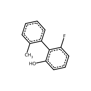 Cc1ccccc1-c1c(O)cccc1F